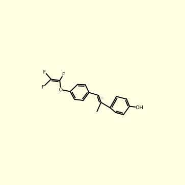 C/C(=C\c1ccc(OC(F)=C(F)F)cc1)c1ccc(O)cc1